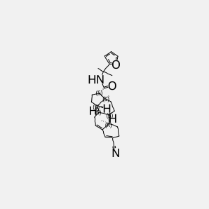 CC(C)(NC(=O)[C@H]1CC[C@H]2[C@@H]3CC=C4C=C(C#N)CC[C@]4(C)[C@H]3CC[C@]12C)c1ccco1